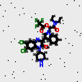 CCN(CC)C(=O)C(OC(=O)C(F)(F)F)n1cc(-c2nc3cc(Cl)c(Cl)cc3n(C3CCNCC3)c2=O)c2ccccc21